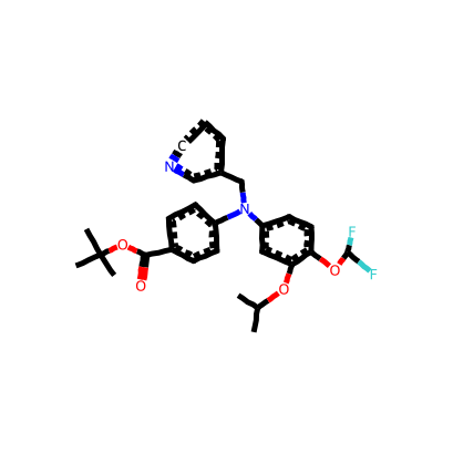 CC(C)Oc1cc(N(Cc2cccnc2)c2ccc(C(=O)OC(C)(C)C)cc2)ccc1OC(F)F